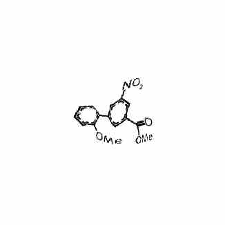 COC(=O)c1cc(-c2ccccc2OC)cc([N+](=O)[O-])c1